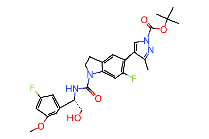 COc1cc(F)cc([C@@H](CO)NC(=O)N2CCc3cc(-c4cn(C(=O)OC(C)(C)C)nc4C)c(F)cc32)c1